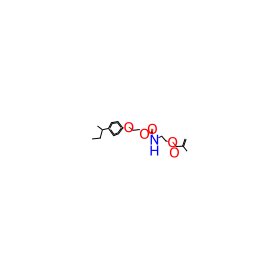 C=C(C)C(=O)OCCNC(=O)OCCOc1ccc(C(C)CC)cc1